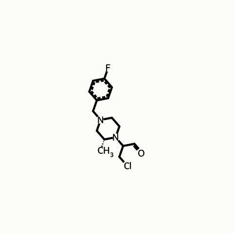 C[C@@H]1CN(Cc2ccc(F)cc2)CCN1C(C=O)CCl